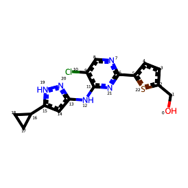 OCc1ccc(-c2ncc(Cl)c(Nc3cc(C4CC4)[nH]n3)n2)s1